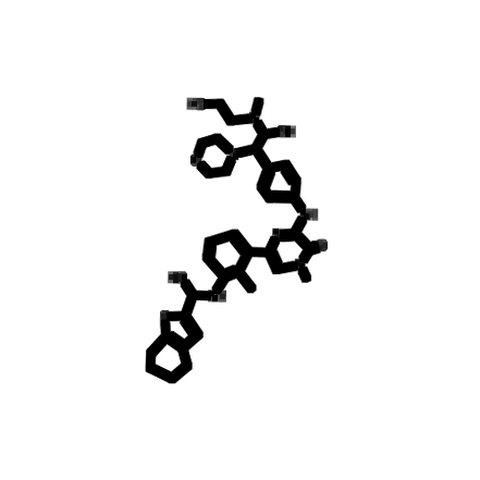 Cc1c(NC(O)c2cc3c(s2)CCCC3)cccc1-c1cn(C)c(=O)c(Nc2ccc(C(C(O)N(C)CCO)N3CCOCC3)cc2)n1